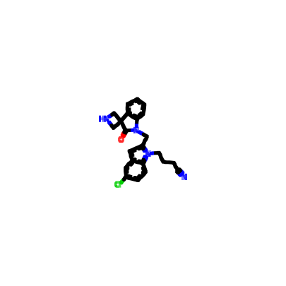 N#CCCCn1c(CN2C(=O)C3(CNC3)c3ccccc32)cc2cc(Cl)ccc21